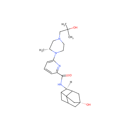 C[C@@H]1CN(CC(C)(C)O)CCN1c1cccc(C(=O)N[C@H]2C3CC4CC2C[C@](O)(C4)C3)n1